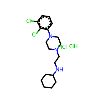 Cl.Cl.Clc1cccc(N2CCN(CCNC3CCCCC3)CC2)c1Cl